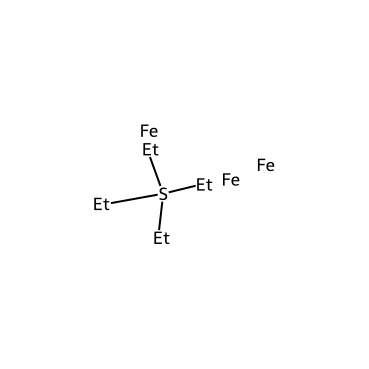 CCS(CC)(CC)CC.[Fe].[Fe].[Fe]